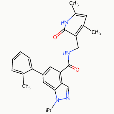 Cc1cc(C)c(CNC(=O)c2cc(-c3ccccc3C(F)(F)F)cc3c2cnn3C(C)C)c(=O)[nH]1